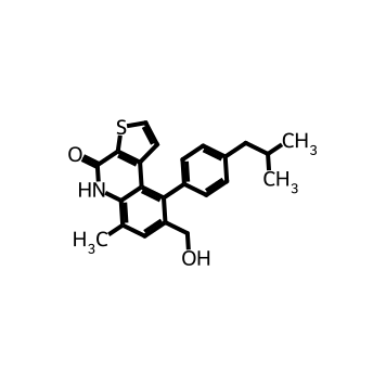 Cc1cc(CO)c(-c2ccc(CC(C)C)cc2)c2c1[nH]c(=O)c1sccc12